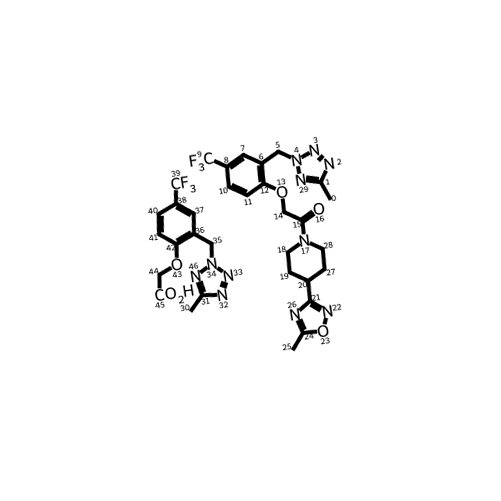 Cc1nnn(Cc2cc(C(F)(F)F)ccc2OCC(=O)N2CCC(c3noc(C)n3)CC2)n1.Cc1nnn(Cc2cc(C(F)(F)F)ccc2OCC(=O)O)n1